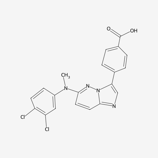 CN(c1ccc(Cl)c(Cl)c1)c1ccc2ncc(-c3ccc(C(=O)O)cc3)n2n1